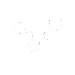 O=C(O)c1cc2nc(-c3ccccc3)cc(C3CCCO3)n2n1